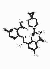 Cc1cc([C@H](C)Nc2ccc(Cl)nc2C(=O)O)c2nc(N3CCC4(CC3)CC4)n(C)c(=O)c2c1